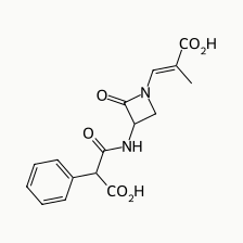 CC(=CN1CC(NC(=O)C(C(=O)O)c2ccccc2)C1=O)C(=O)O